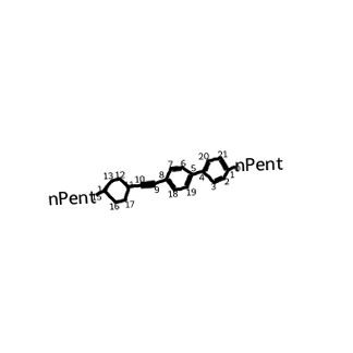 CCCCCc1ccc(-c2ccc(C#CC3CCC(CCCCC)CC3)cc2)cc1